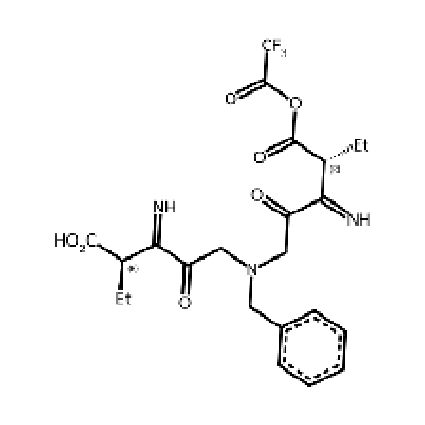 CC[C@H](C(=N)C(=O)CN(CC(=O)C(=N)[C@@H](CC)C(=O)OC(=O)C(F)(F)F)Cc1ccccc1)C(=O)O